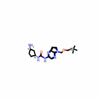 C[Si](C)(C)CCOCn1ccc2nc(NC(=O)N[C@@H]3CC[C@@H](N)C3)cnc21